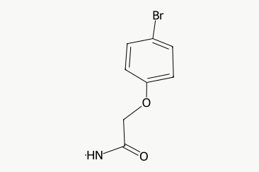 [NH]C(=O)COc1ccc(Br)cc1